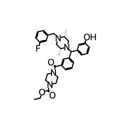 CCOC(=O)N1CCN(C(=O)c2cccc(C(c3cccc(O)c3)N3C[C@@H](C)N(Cc4cccc(F)c4)C[C@H]3C)c2)CC1